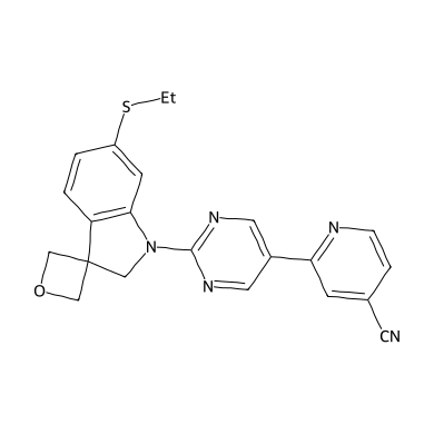 CCSc1ccc2c(c1)N(c1ncc(-c3cc(C#N)ccn3)cn1)CC21COC1